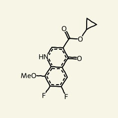 COc1c(F)c(F)cc2c(=O)c(C(=O)OC3CC3)c[nH]c12